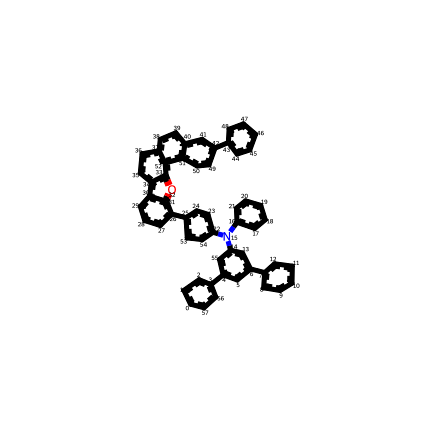 c1ccc(-c2cc(-c3ccccc3)cc(N(c3ccccc3)c3ccc(-c4cccc5c4oc4c5ccc5ccc6cc(-c7ccccc7)ccc6c54)cc3)c2)cc1